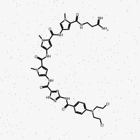 Cn1cc(NC(=O)c2cc(NC(=O)c3cc(NC(=O)c4nc(NC(=O)c5ccc(N(CCCl)CCCl)cc5)n[nH]4)cn3C)cn2C)cc1C(=O)NCCC(=N)N